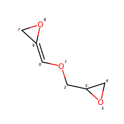 C(OCC1CO1)=C1CO1